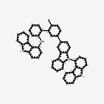 Cc1ccc(-c2ccc3c(c2)c2ccccc2n3-c2cccc3sc4ccccc4c23)cc1-c1ccccc1Nc1cccc2sc3ccccc3c12